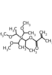 C=C(C)C(=O)OC(CC)[Si](C(C)OC)(C(C)OC)C(C)OC